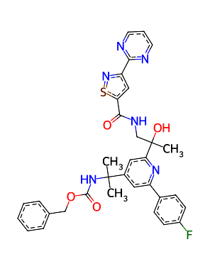 CC(O)(CNC(=O)c1cc(-c2ncccn2)ns1)c1cc(C(C)(C)NC(=O)OCc2ccccc2)cc(-c2ccc(F)cc2)n1